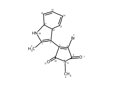 CC1=C(C2=C(Br)C(=O)N(C)C2=O)C2C=CC=CC2N1